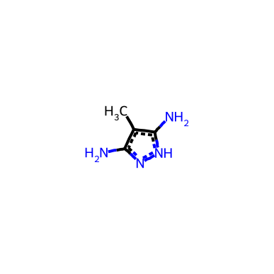 Cc1c(N)n[nH]c1N